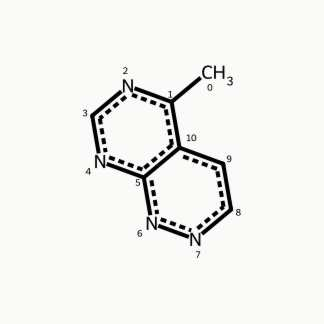 Cc1ncnc2nnccc12